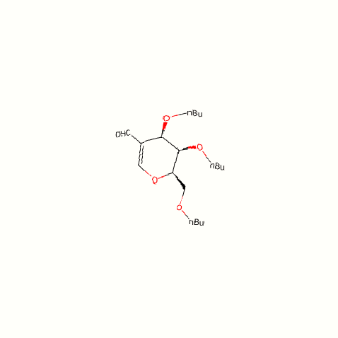 CCCCOC[C@H]1OC=C(C=O)[C@@H](OCCCC)[C@H]1OCCCC